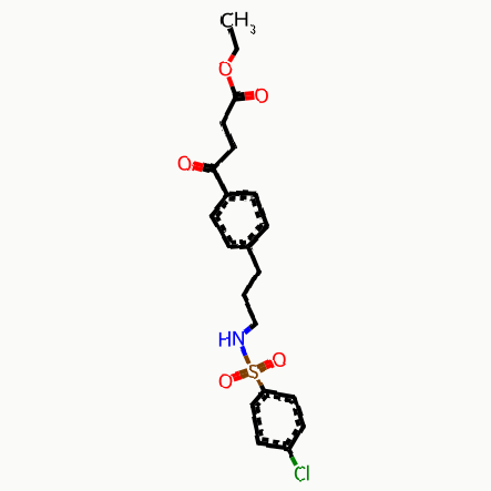 CCOC(=O)CCC(=O)c1ccc(CCCNS(=O)(=O)c2ccc(Cl)cc2)cc1